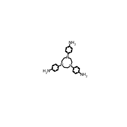 Nc1ccc(N2CCN(c3ccc(N)cc3)CCN(c3ccc(N)cc3)CC2)cc1